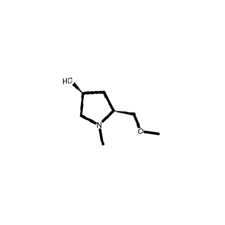 COC[C@@H]1C[C@H](O)CN1C